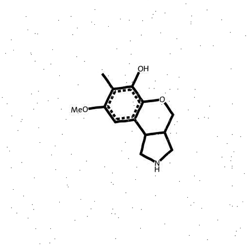 COc1cc2c(c(O)c1C)OCC1CNCC21